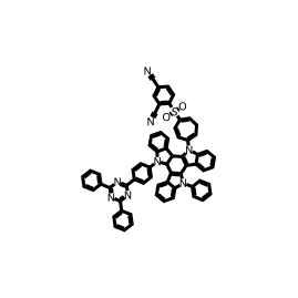 N#Cc1ccc(S(=O)(=O)C2=CCC=C(n3c4c(c5ccccc53)-c3c(c5ccccc5n3-c3ccccc3)C3C4c4ccccc4N3c3ccc(-c4nc(-c5ccccc5)nc(-c5ccccc5)n4)cc3)C=C2)c(C#N)c1